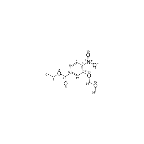 CCOC(=O)c1ccc([N+](=O)[O-])c(OCOC)c1